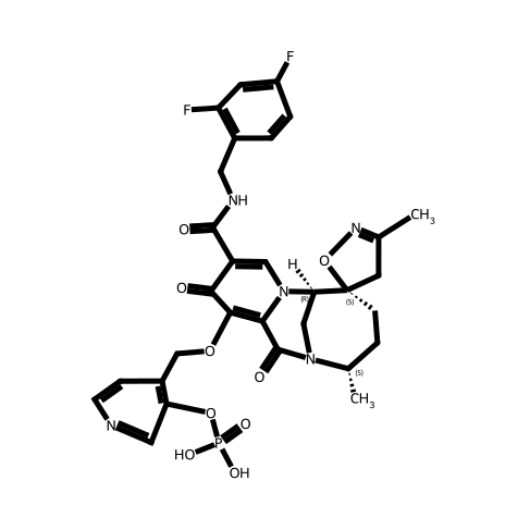 CC1=NO[C@@]2(CC[C@H](C)N3C[C@H]2n2cc(C(=O)NCc4ccc(F)cc4F)c(=O)c(OCc4ccncc4OP(=O)(O)O)c2C3=O)C1